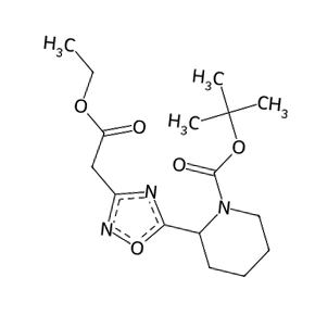 CCOC(=O)Cc1noc(C2CCCCN2C(=O)OC(C)(C)C)n1